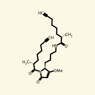 C#CCCCC[C@@H](C)C(=O)N1C(=O)C=C(OC)[C@@H]1CCCCNC(=O)[C@@H](C)CCCCC#C